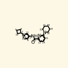 O=C(Nc1cnn(C2CCC2)c1)c1cccc(N2CCCCC2)n1